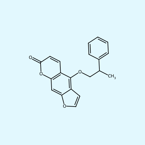 CC(COc1c2ccoc2cc2oc(=O)ccc12)c1ccccc1